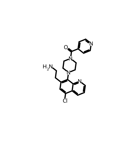 NCCc1cc(Cl)c2cccnc2c1N1CCN(C(=O)c2ccncc2)CC1